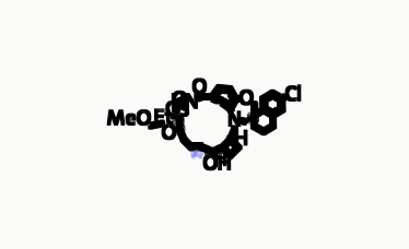 CC[C@H]1[C@H](OCCOC)C/C=C/[C@H](O)[C@@H]2CC[C@H]2CN2C[C@@]3(CCCc4cc(Cl)ccc43)COc3ccc(cc32)C(=O)NS1(=O)=O